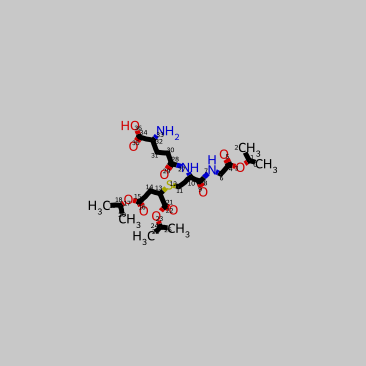 CC(C)OC(=O)CNC(=O)C(CSC(CC(=O)OC(C)C)C(=O)OC(C)C)NC(=O)CCC(N)C(=O)O